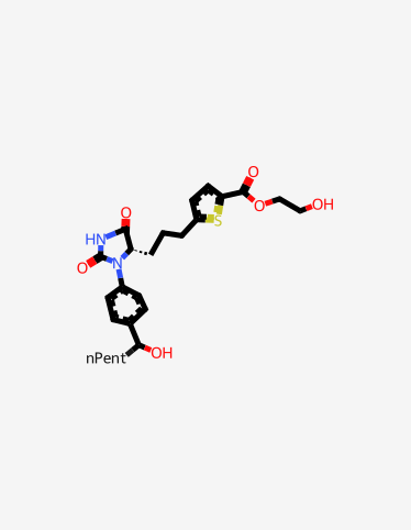 CCCCCC(O)c1ccc(N2C(=O)NC(=O)[C@@H]2CCCc2ccc(C(=O)OCCO)s2)cc1